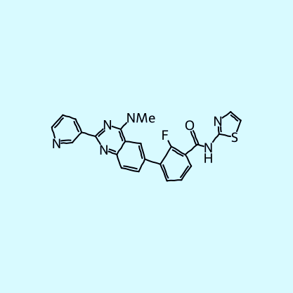 CNc1nc(-c2cccnc2)nc2ccc(-c3cccc(C(=O)Nc4nccs4)c3F)cc12